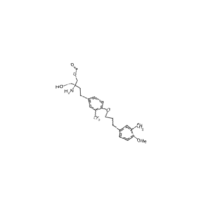 COc1ccc(CCCOc2ccc(CCC(N)(CO)COP=O)cc2C(F)(F)F)cc1C